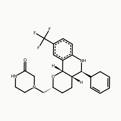 O=C1CN(C[C@H]2CC[C@@H]3[C@H](O2)c2cc(C(F)(F)F)ccc2N[C@H]3C2C=CC=CC2)CCN1